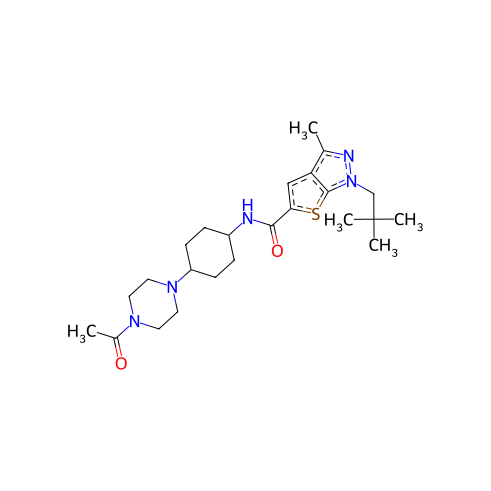 CC(=O)N1CCN(C2CCC(NC(=O)c3cc4c(C)nn(CC(C)(C)C)c4s3)CC2)CC1